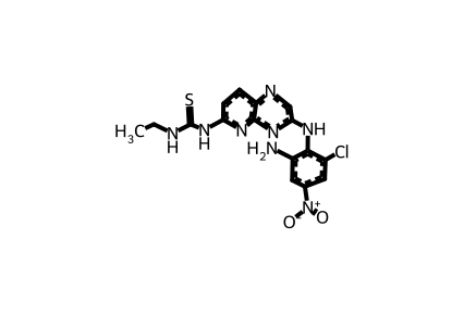 CCNC(=S)Nc1ccc2ncc(Nc3c(N)cc([N+](=O)[O-])cc3Cl)nc2n1